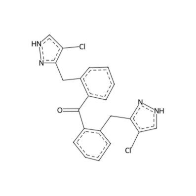 O=C(c1ccccc1Cc1n[nH]cc1Cl)c1ccccc1Cc1n[nH]cc1Cl